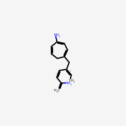 C=C(N)/C=C\C(=C/C)CC1=CC=C(N)C=CC1